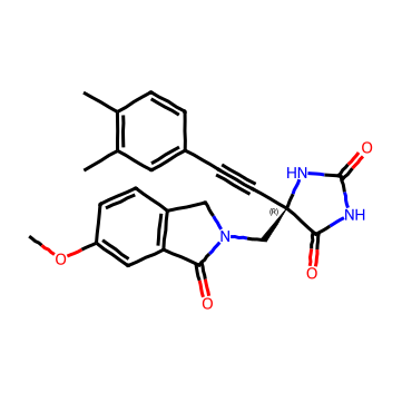 COc1ccc2c(c1)C(=O)N(C[C@@]1(C#Cc3ccc(C)c(C)c3)NC(=O)NC1=O)C2